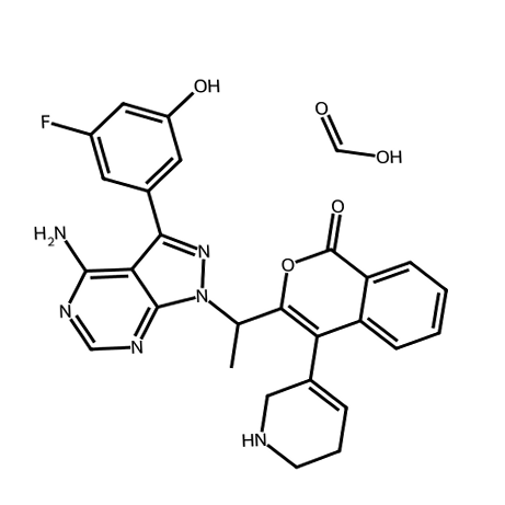 CC(c1oc(=O)c2ccccc2c1C1=CCCNC1)n1nc(-c2cc(O)cc(F)c2)c2c(N)ncnc21.O=CO